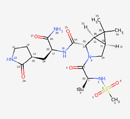 CC(C)(C)[C@H](NS(C)(=O)=O)C(=O)N1C[C@H]2[C@@H]([C@H]1C(=O)N[C@@H](C[C@@H]1CCNC1=O)C(N)=O)C2(C)C